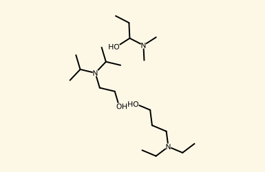 CC(C)N(CCO)C(C)C.CCC(O)N(C)C.CCN(CC)CCCO